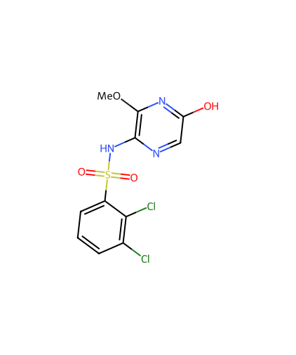 COc1nc(O)cnc1NS(=O)(=O)c1cccc(Cl)c1Cl